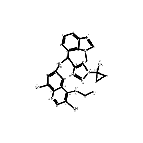 Cn1cnc2cccc(C(Nc3cc(C#N)c4ncc(C#N)c(NCC(C)(C)C)c4c3)c3cn(C4(C(F)(F)F)CC4)nn3)c21